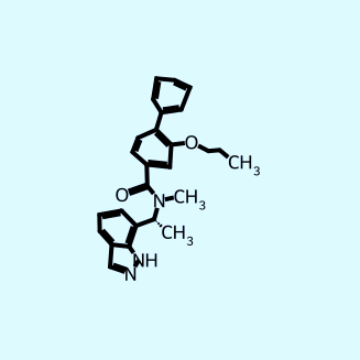 CCCOc1cc(C(=O)N(C)[C@H](C)c2cccc3cn[nH]c23)ccc1-c1ccccc1